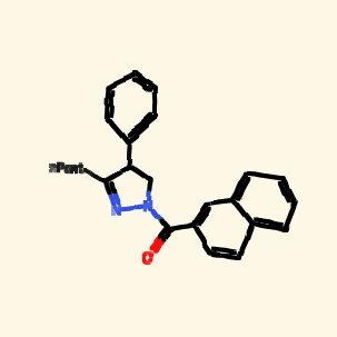 CCCCCC1=NN(C(=O)c2ccc3ccccc3c2)CC1c1ccccc1